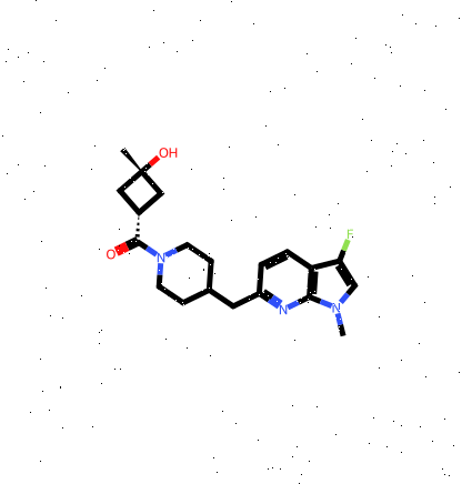 Cn1cc(F)c2ccc(CC3CCN(C(=O)[C@H]4C[C@@](C)(O)C4)CC3)nc21